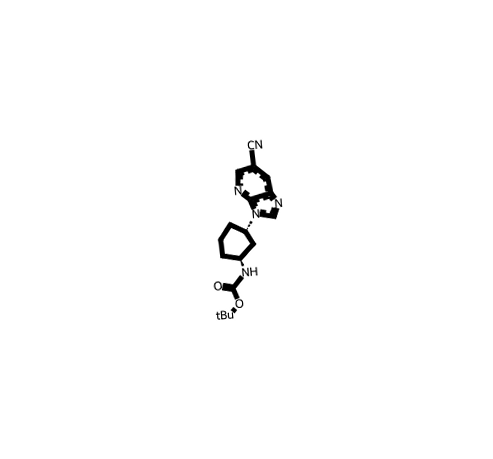 CC(C)(C)OC(=O)N[C@@H]1CCC[C@H](n2cnc3cc(C#N)cnc32)C1